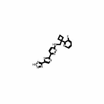 Fc1cccnc1C1(CNc2ccc(-c3ncc(-c4nn[nH]n4)s3)nn2)CCC1